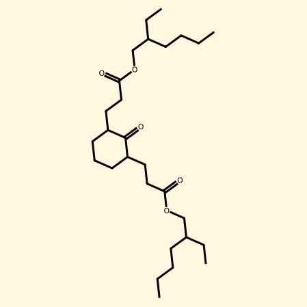 CCCCC(CC)COC(=O)CCC1CCCC(CCC(=O)OCC(CC)CCCC)C1=O